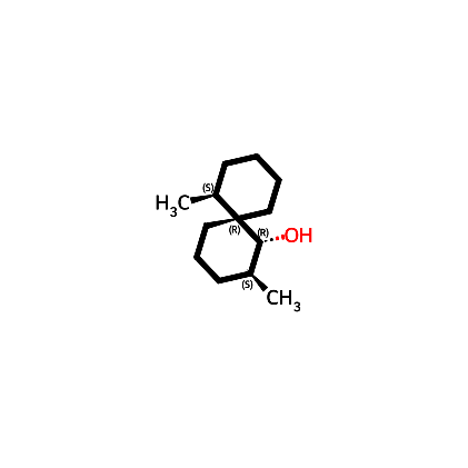 C[C@H]1CCC[C@@]2(CCCC[C@@H]2C)[C@@H]1O